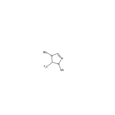 CCCN1N=CN(C(C)(C)C)C1C(F)(F)F